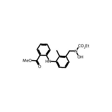 CCOC(=O)N(O)Cc1cccc(Nc2ccccc2C(=O)OC)c1C